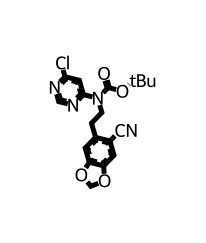 CC(C)(C)OC(=O)N(CCc1cc2c(cc1C#N)OCO2)c1cc(Cl)ncn1